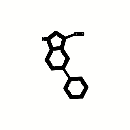 O=Cc1c[nH]c2ccc(-c3ccccc3)cc12